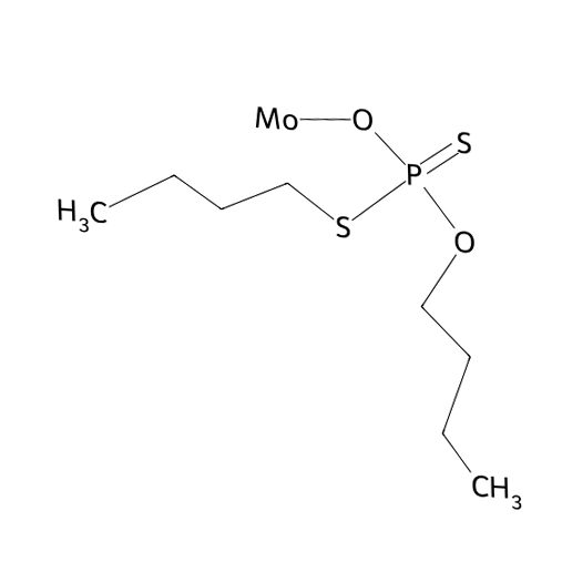 CCCCOP(=S)([O][Mo])SCCCC